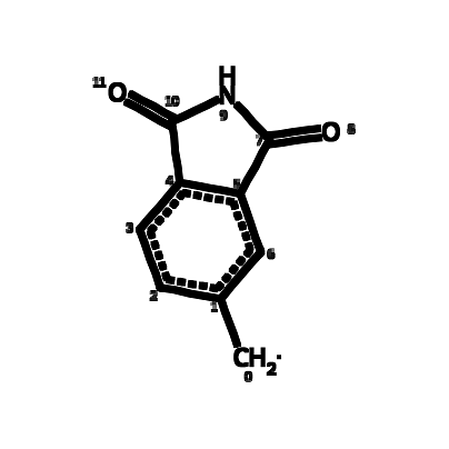 [CH2]c1ccc2c(c1)C(=O)NC2=O